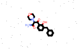 NC(=O)C(C(=O)c1cccc(Cc2ccccc2)c1O)N1CCOCC1